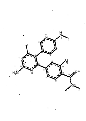 CNc1ccc(-c2c(C)nc(N)nc2-c2ccc(C(=O)N(C)C)c(Cl)c2)cn1